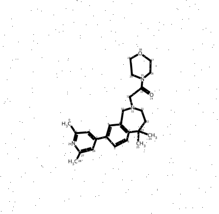 Cc1cc(-c2ccc3c(c2)CN(CC(=O)N2CCOCC2)CCC3(C)C)cc(C)n1